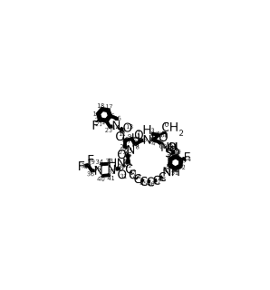 C=C[C@@H]1C[C@@]12NC(=O)[C@@H]1C[C@@H](OC(=O)N3Cc4cccc(F)c4C3)CN1C(=O)[C@@H](NC(=O)N1CCN(CC(F)F)CC1)CCCCCCCNc1ccc(F)cc1S(=O)(=O)NC2=O